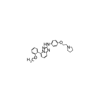 COc1ccccc1-c1cccc2nc(Nc3ccc(OCCN4CCCC4)cc3)nn12